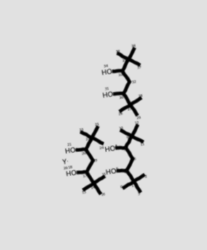 CC(C)(C)C(O)CC(O)C(C)(C)C.CC(C)(C)C(O)CC(O)C(C)(C)C.CC(C)(C)C(O)CC(O)C(C)(C)C.[Y]